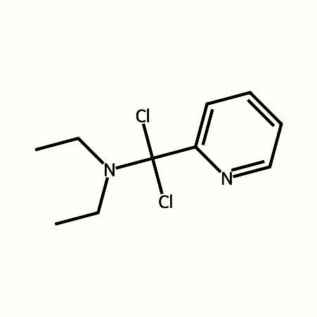 CCN(CC)C(Cl)(Cl)c1ccccn1